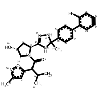 Cc1cc(C(C(=O)N2C[C@H](O)C[C@H]2C2=NNC(C)(c3ccc(-c4cc#ccc4F)cc3)N2)C(C)C)on1